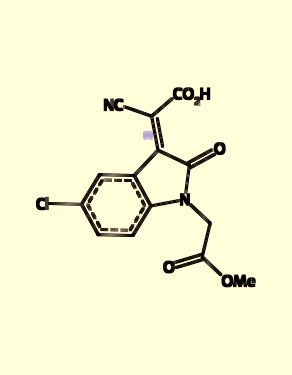 COC(=O)CN1C(=O)/C(=C(/C#N)C(=O)O)c2cc(Cl)ccc21